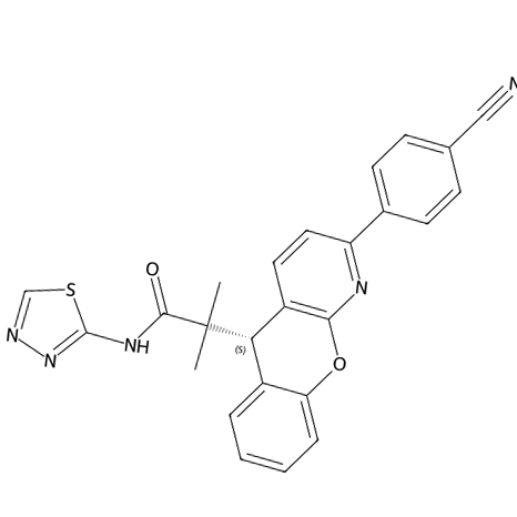 CC(C)(C(=O)Nc1nncs1)[C@H]1c2ccccc2Oc2nc(-c3ccc(C#N)cc3)ccc21